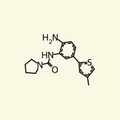 Cc1csc(-c2ccc(N)c(NC(=O)N3CCCC3)c2)c1